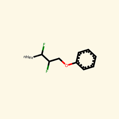 CCCCCCC(F)C(F)COc1ccccc1